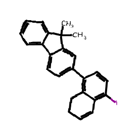 CC1(C)c2ccccc2-c2ccc(-c3ccc(I)c4c3CCC=C4)cc21